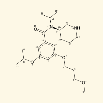 COCCCOc1cc(OC(C)C)cc(C(=O)N(C(C)C)[C@@H]2CCCNC2)c1